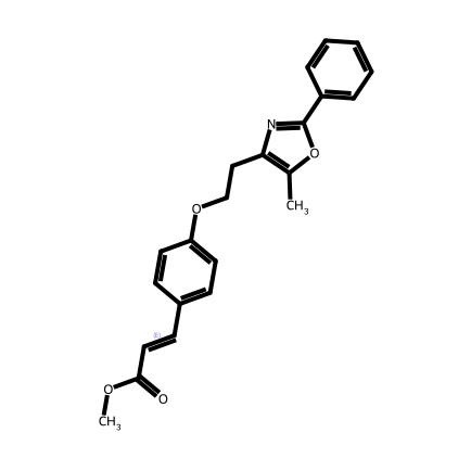 COC(=O)/C=C/c1ccc(OCCc2nc(-c3ccccc3)oc2C)cc1